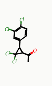 CC(=O)C1C(c2ccc(Cl)c(Cl)c2)C1(Cl)Cl